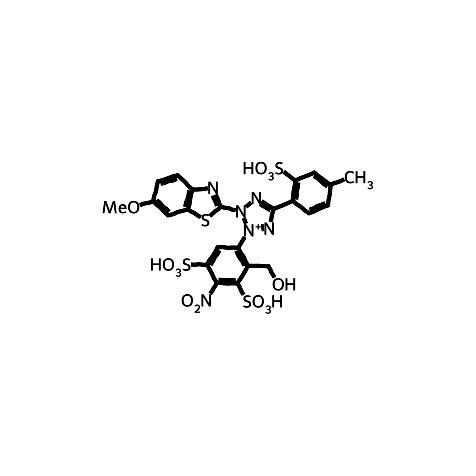 COc1ccc2nc(-n3nc(-c4ccc(C)cc4S(=O)(=O)O)n[n+]3-c3cc(S(=O)(=O)O)c([N+](=O)[O-])c(S(=O)(=O)O)c3CO)sc2c1